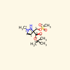 CN1C=CC(COS(C)(=O)=O)(C(=O)OC(C)(C)C)N1